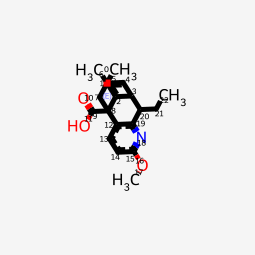 C/C=C1\C2C=C(C)CC1(C(=O)O)c1ccc(OC)nc1C2CC